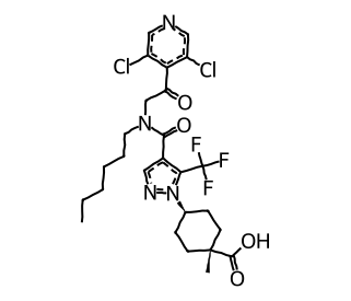 CCCCCCN(CC(=O)c1c(Cl)cncc1Cl)C(=O)c1cnn([C@H]2CC[C@](C)(C(=O)O)CC2)c1C(F)(F)F